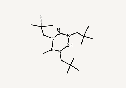 CB1N(CC(C)(C)C)BN(CC(C)(C)C)BN1CC(C)(C)C